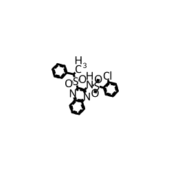 CC(c1ccccc1)S(=O)(=O)c1nc2ccccc2nc1NS(=O)(=O)c1ccccc1Cl